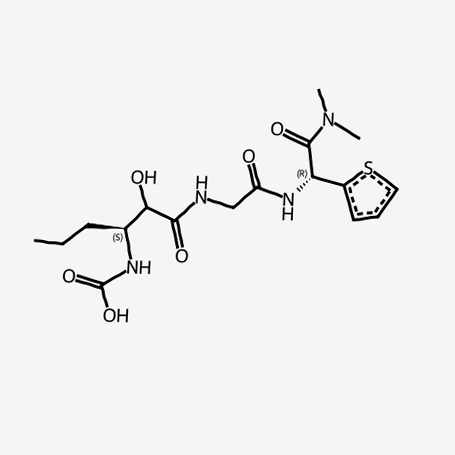 CCC[C@H](NC(=O)O)C(O)C(=O)NCC(=O)N[C@H](C(=O)N(C)C)c1cccs1